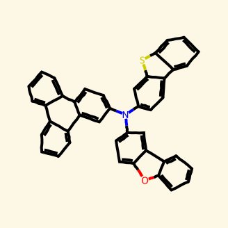 c1ccc2c(c1)oc1ccc(N(c3ccc4c(c3)sc3ccccc34)c3ccc4c5ccccc5c5ccccc5c4c3)cc12